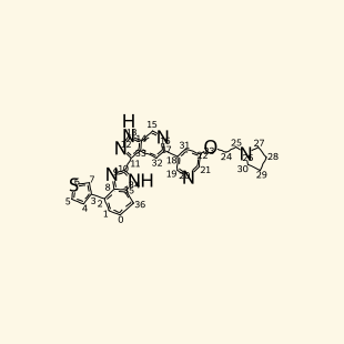 c1cc(-c2ccsc2)c2nc(-c3n[nH]c4cnc(-c5cncc(OCCN6CCCC6)c5)cc34)[nH]c2c1